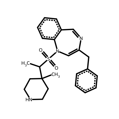 CC(C1(C)CCNCC1)S(=O)(=O)N1C=C(Cc2ccccc2)N=Cc2ccccc21